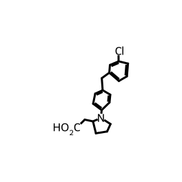 O=C(O)CC1CCCN1c1ccc(Cc2cccc(Cl)c2)cc1